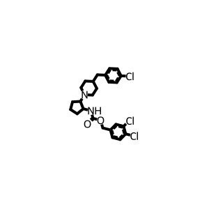 O=C(NC1CCCC1N1CCC(Cc2ccc(Cl)cc2)CC1)OCc1ccc(Cl)c(Cl)c1